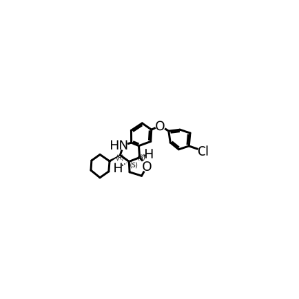 Clc1ccc(Oc2ccc3c(c2)[C@H]2OCC[C@H]2[C@@H](C2CCCCC2)N3)cc1